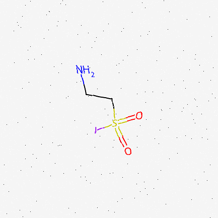 NCCS(=O)(=O)I